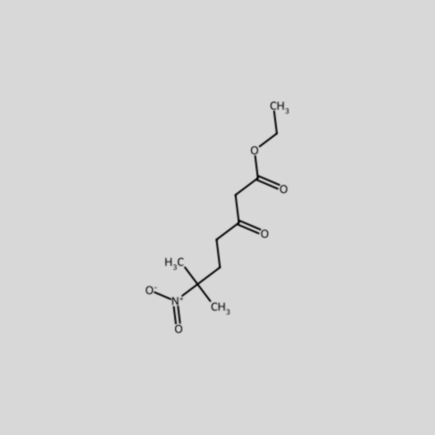 CCOC(=O)CC(=O)CCC(C)(C)[N+](=O)[O-]